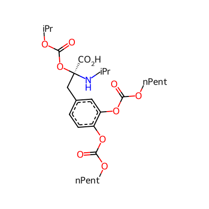 CCCCCOC(=O)Oc1ccc(C[C@](NC(C)C)(OC(=O)OC(C)C)C(=O)O)cc1OC(=O)OCCCCC